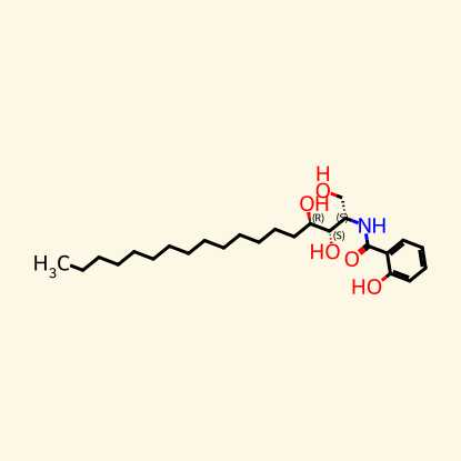 CCCCCCCCCCCCCC[C@@H](O)[C@@H](O)[C@H](CO)NC(=O)c1ccccc1O